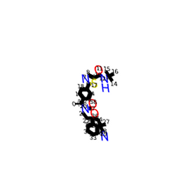 C[C@@H](c1ccc(-c2ncc(C(=O)NC(C)(C)C)s2)cc1)N1CCC(CC(C)(C)C#N)(c2ccccc2)OC1=O